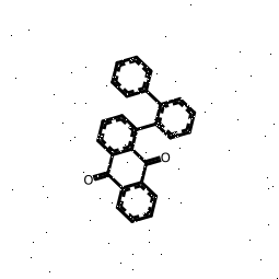 O=C1c2ccccc2C(=O)c2c1cccc2-c1ccccc1-c1ccccc1